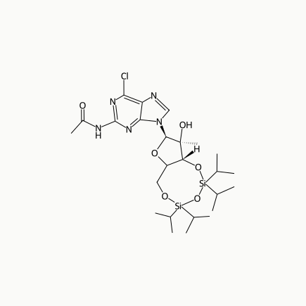 CC(=O)Nc1nc(Cl)c2ncn([C@@H]3OC4CO[Si](C(C)C)(C(C)C)O[Si](C(C)C)(C(C)C)O[C@H]4[C@]3(C)O)c2n1